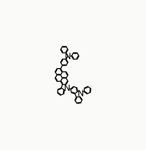 c1ccc(N(c2ccccc2)c2ccc(-c3ccc4ccc5c6c(ccc3c46)cc3c5c4ccccc4n3-c3ccc4c(c3)c3ccccc3n4-c3ccccc3)cc2)cc1